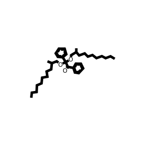 CCCCCCCCCC(C)COC(OCC(C)CCCCCCCCC)(C(=O)c1ccccc1)c1ccccc1